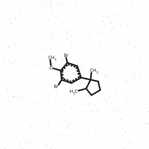 COc1c(Br)cc(C2(C)CCCC2C)cc1Br